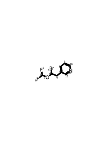 FC(F)OC(Br)Cc1cccnc1